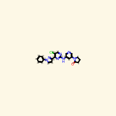 O=C1CCCN1c1cncc(Nc2ncc(Cl)c(-c3ccn(-c4ccccc4)n3)n2)c1